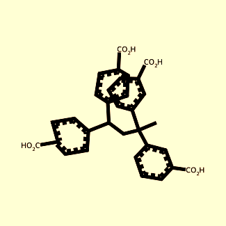 CC(CC(c1ccc(C(=O)O)cc1)c1ccc(C(=O)O)cc1)(c1cccc(C(=O)O)c1)c1cccc(C(=O)O)c1